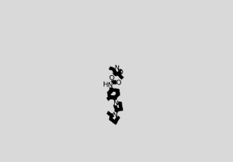 Cc1cc(NC(=O)Oc2c(C)noc2C)ccc1N1CCC(N2CCCC2C)C1